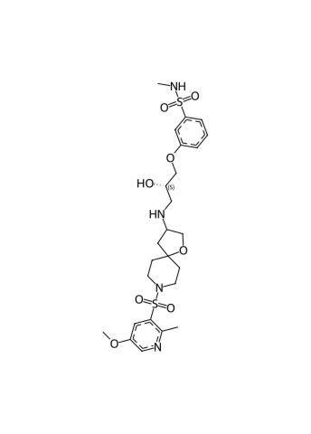 CNS(=O)(=O)c1cccc(OC[C@@H](O)CNC2COC3(CCN(S(=O)(=O)c4cc(OC)cnc4C)CC3)C2)c1